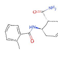 Cc1ccccc1C(=O)N[C@@H]1CC=CC[C@H]1C(N)=O